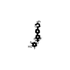 CCCC1CCC(c2ccc(-c3cc(F)c(C(F)(F)Oc4cc(F)c(O)c(F)c4)c(F)c3)cc2)OC1